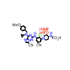 COc1ccc(CN(c2nc(Nc3cc(C#N)cc(N4CC[C@@H](NC(=O)O)[C@H](OP(=O)(O)O)C4)c3Cl)nn3c(C#N)cnc23)C2CC2)cc1